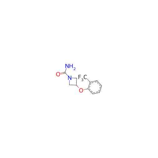 NC(=O)N1CC(Oc2ccccc2C(F)(F)F)C1